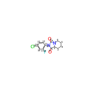 O=C1C2CCCCN2C(=O)N1c1ccc(Cl)cc1F